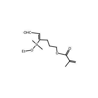 C=C(C)C(=O)OCCCC(=C[C]=O)[Si](C)(C)OCC